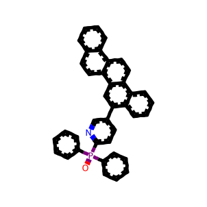 O=P(c1ccccc1)(c1ccccc1)c1ccc(-c2cc3c(ccc4c5ccccc5ccc43)c3ccccc23)cn1